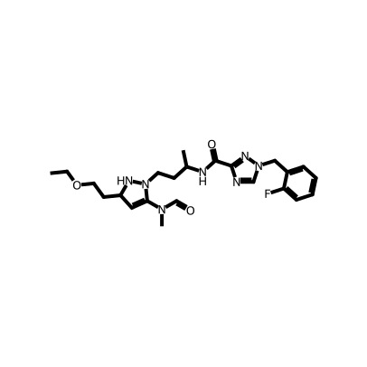 CCOCCC1C=C(N(C)C=O)N(CCC(C)NC(=O)c2ncn(Cc3ccccc3F)n2)N1